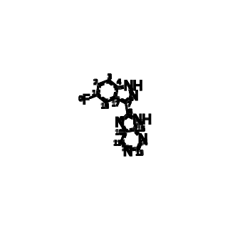 Fc1ccc2[nH]nc(-c3nc4cncnc4[nH]3)c2c1